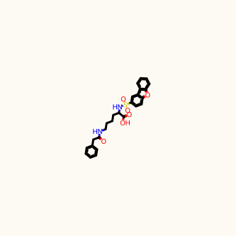 O=C(Cc1ccccc1)NCCCCC(NS(=O)(=O)c1ccc2oc3ccccc3c2c1)C(=O)O